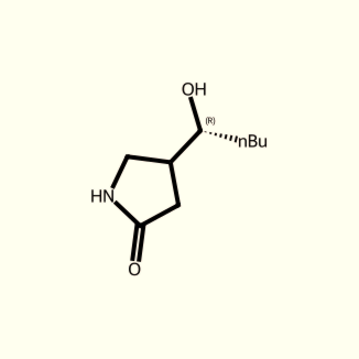 CCCC[C@@H](O)C1CNC(=O)C1